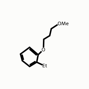 CCc1ccccc1OCCCOC